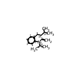 C=CN(c1ccccc1CCC(C)C)C(C)C